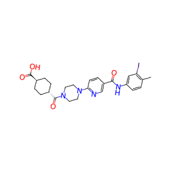 Cc1ccc(NC(=O)c2ccc(N3CCN(C(=O)[C@H]4CC[C@H](C(=O)O)CC4)CC3)nc2)cc1I